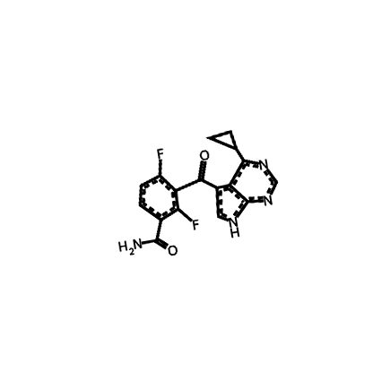 NC(=O)c1ccc(F)c(C(=O)c2c[nH]c3ncnc(C4CC4)c23)c1F